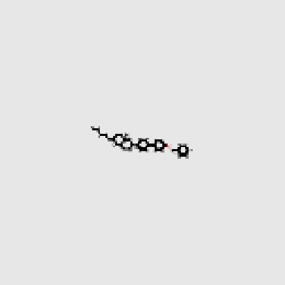 CCCCCC1CC[C@@H]2C[C@H](c3ccc(-c4ccc(OCc5ccccc5)cc4)cc3)CC[C@@H]2C1